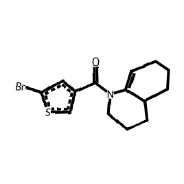 O=C(c1csc(Br)c1)N1CCCC2CCCC=C21